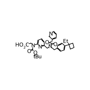 CCC1(c2ccc(CN(Cc3cccc(N(CC(=O)O)C(=O)OC(C)(C)C)n3)S(=O)(=O)c3cccnc3)cc2)CCC1